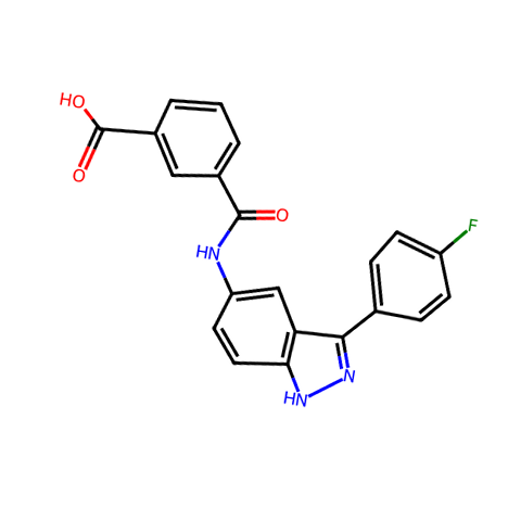 O=C(O)c1cccc(C(=O)Nc2ccc3[nH]nc(-c4ccc(F)cc4)c3c2)c1